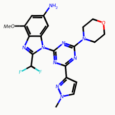 COc1cc(N)cc2c1nc(C(F)F)n2-c1nc(-c2ccn(C)n2)nc(N2CCOCC2)n1